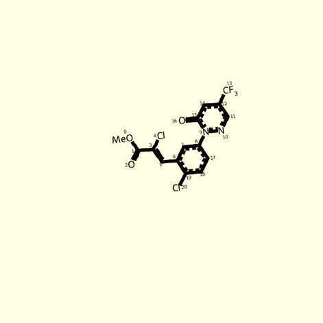 COC(=O)C(Cl)=Cc1cc(-n2ncc(C(F)(F)F)cc2=O)ccc1Cl